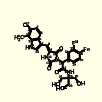 Cc1c(Cl)ccc2c(/C=C3\NC(=O)N(C(C(=O)NC(CO)(CO)CO)c4ccc(F)c(F)c4)C3=O)c[nH]c12